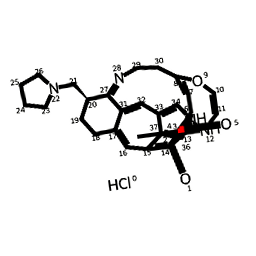 Cl.O=C1CC(=O)c2cc3occ[nH]c2/C1=C1\C=C2CC[C@@H](CN4CCCC4)/C(=N/CC3)C2=Cc2c[nH]cc21